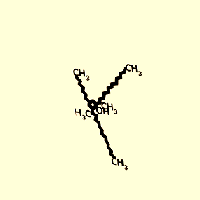 CCCCCCCCCCCCCCC(C)c1cc(CCCCCCCC)cc(C(C)CCCCCCCCCCCCCC)c1O